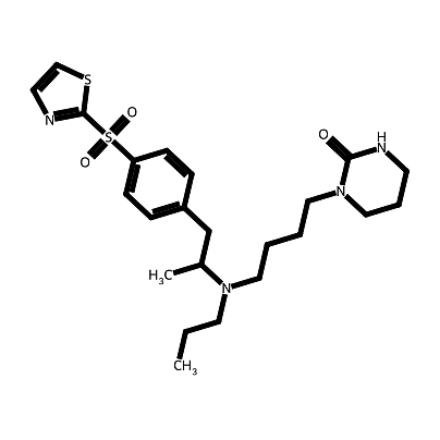 CCCN(CCCCN1CCCNC1=O)C(C)Cc1ccc(S(=O)(=O)c2nccs2)cc1